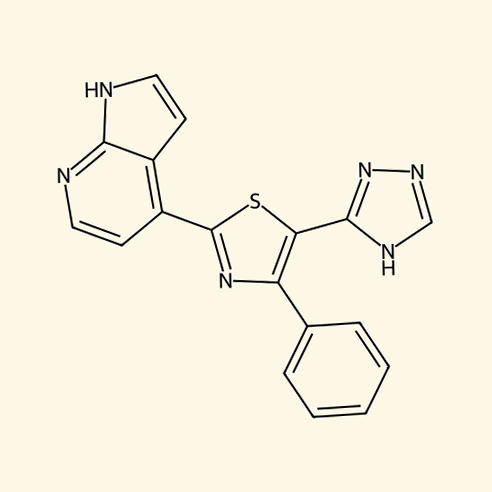 c1ccc(-c2nc(-c3ccnc4[nH]ccc34)sc2-c2nnc[nH]2)cc1